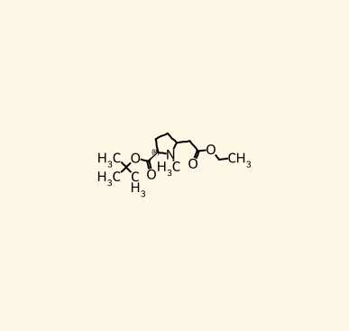 CCOC(=O)CC1CC[C@H](C(=O)OC(C)(C)C)N1C